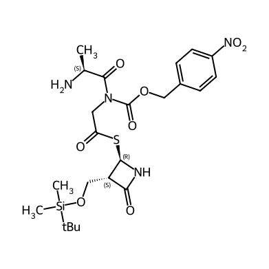 C[C@H](N)C(=O)N(CC(=O)S[C@H]1NC(=O)[C@@H]1CO[Si](C)(C)C(C)(C)C)C(=O)OCc1ccc([N+](=O)[O-])cc1